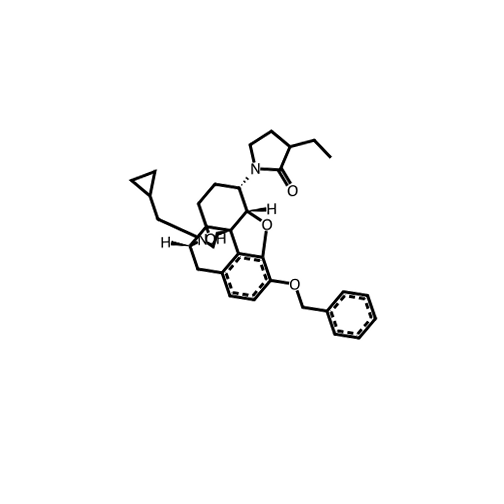 CCC1CCN([C@H]2CCC3(O)[C@H]4Cc5ccc(OCc6ccccc6)c6c5[C@@]3(CCN4CC3CC3)[C@H]2O6)C1=O